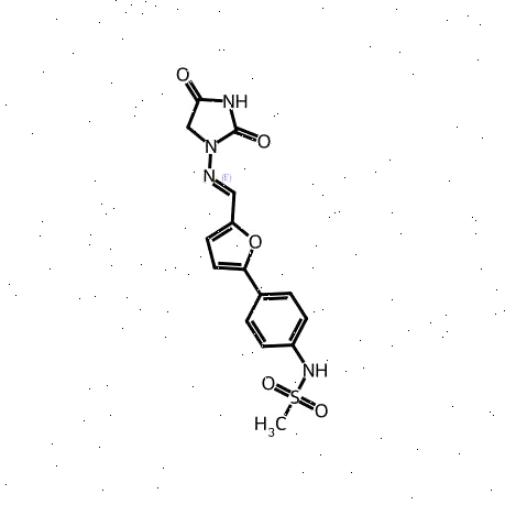 CS(=O)(=O)Nc1ccc(-c2ccc(/C=N/N3CC(=O)NC3=O)o2)cc1